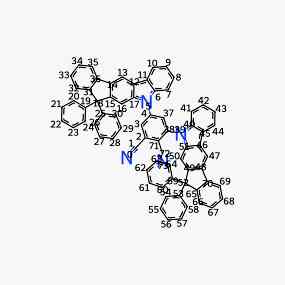 N#Cc1cc(-n2c3ccccc3c3cc4c(cc32)C(c2ccccc2)(c2ccccc2)c2ccccc2-4)cc(-n2c3ccccc3c3cc4c(cc32)C(c2ccccc2)(c2ccccc2)c2ccccc2-4)c1C#N